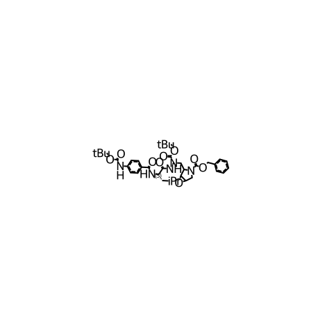 CC(C)C[C@H](NC(=O)c1ccc(NC(=O)OC(C)(C)C)cc1)C(=O)NN(CC1C2OC2CN1C(=O)OCc1ccccc1)C(=O)OC(C)(C)C